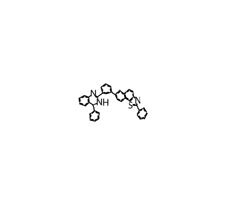 c1ccc(-c2nc3ccc4cc(-c5cccc(C6=Nc7ccccc7C(c7ccccc7)N6)c5)ccc4c3s2)cc1